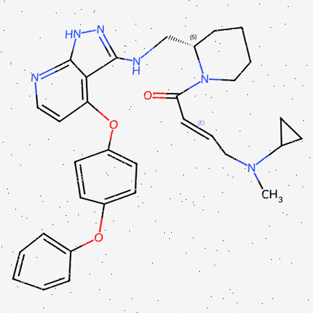 CN(C/C=C/C(=O)N1CCCC[C@H]1CNc1n[nH]c2nccc(Oc3ccc(Oc4ccccc4)cc3)c12)C1CC1